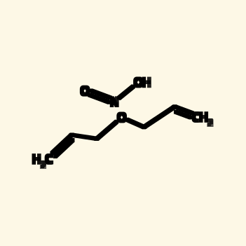 C=CCOCC=C.O=NO